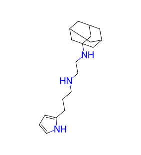 c1c[nH]c(CCCNCCNC23CC4CC(CC(C4)C2)C3)c1